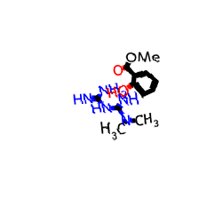 CN(C)C(=N)NC(=N)N.COC(=O)c1ccccc1O